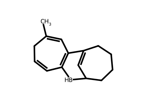 CC1=CC2=C(BC3C=C2CCCC3)C=CC1